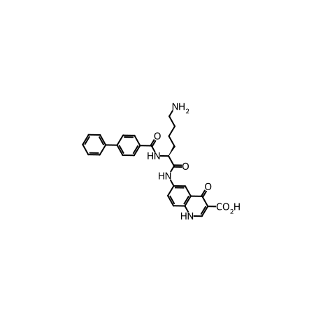 NCCCC[C@H](NC(=O)c1ccc(-c2ccccc2)cc1)C(=O)Nc1ccc2[nH]cc(C(=O)O)c(=O)c2c1